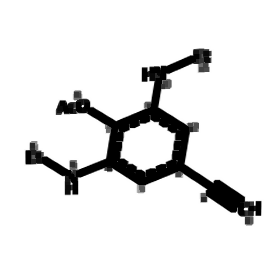 C#Cc1cc(NCC)c(OC(C)=O)c(NCC)c1